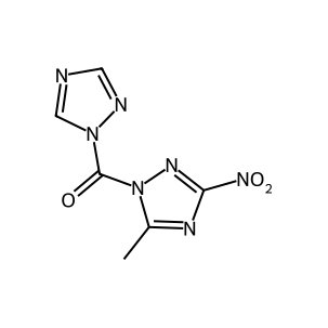 Cc1nc([N+](=O)[O-])nn1C(=O)n1cncn1